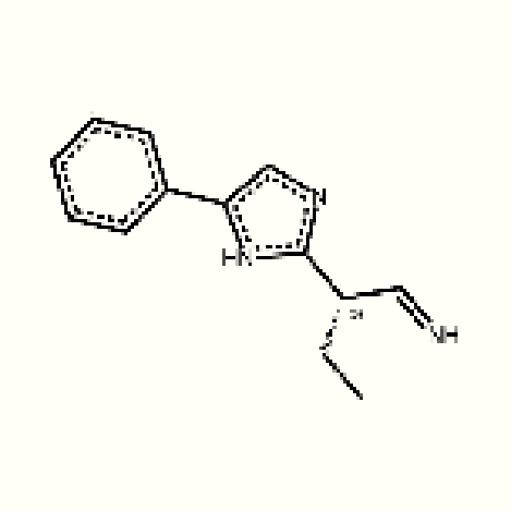 CC[C@@H](C=N)c1ncc(-c2c[c]ccc2)[nH]1